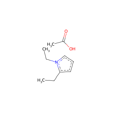 CC(=O)O.CCc1cccn1CC